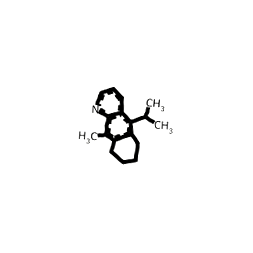 Cc1c2c(c(C(C)C)c3cccnc13)CCCC2